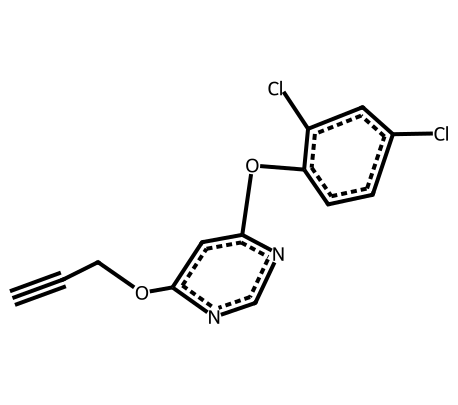 C#CCOc1cc(Oc2ccc(Cl)cc2Cl)ncn1